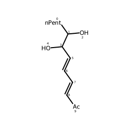 CCCCCC(O)C(O)/C=C/C=C/C(C)=O